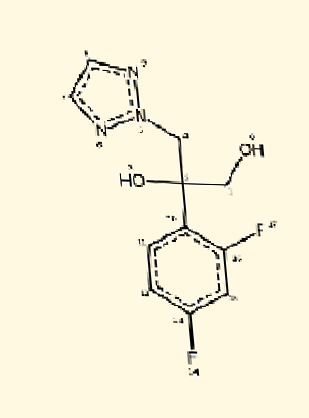 OCC(O)(Cn1nccn1)c1ccc(F)cc1F